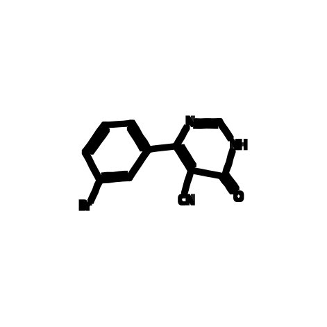 N#Cc1c(-c2cccc(Br)c2)nc[nH]c1=O